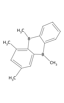 CB1c2ccccc2B(C)c2c(C)cc(C)cc21